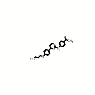 CC(=O)c1ccc(Nc2nccc(-c3ccc(SCCCO)cc3)n2)cc1